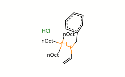 C=CP(Cc1ccccc1)[PH](CCCCCCCC)(CCCCCCCC)CCCCCCCC.Cl